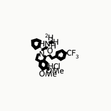 Cl.[2H]C([2H])([2H])NC(=O)[C@@H](c1ccccc1)N1CCc2cc(OC)c(OC)cc2[C@@H]1CCc1ccc(C(F)(F)F)cc1